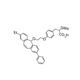 CCc1ccc2c(c1)C=Cc1cc(-c3ccccc3)ccc1C2OCCOc1ccc(CC(OC)C(=O)O)cc1